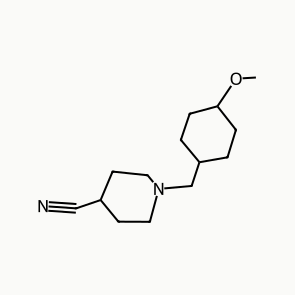 COC1CCC(CN2CCC(C#N)CC2)CC1